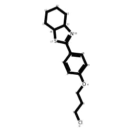 ClCCCOc1ccc(C2=NC3CCCCC3S2)cc1